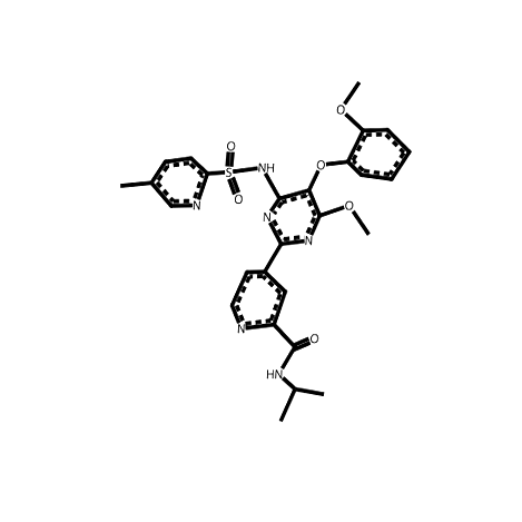 COc1ccccc1Oc1c(NS(=O)(=O)c2ccc(C)cn2)nc(-c2ccnc(C(=O)NC(C)C)c2)nc1OC